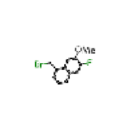 COc1cc2c(CBr)cccc2cc1F